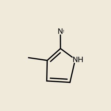 Cc1cc[nH]c1[N]